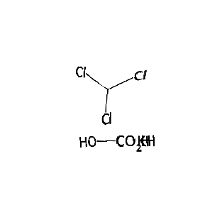 ClC(Cl)Cl.O=C(O)O.[KH]